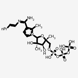 CCC/C=C/N=C(/N)c1ccn(C2O[C@](C)(COP(=O)(O)OP(=O)(O)OP(=O)(O)O)[C@@H](O)[C@@]2(C)O)c1C